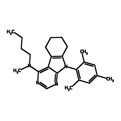 CCCCN(C)c1ncnc2c1c1c(n2-c2c(C)cc(C)cc2C)CCCC1